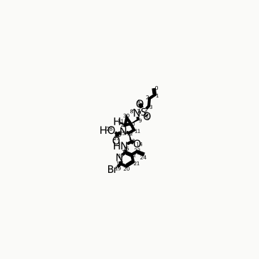 C=CCCS(=O)(=O)N(C)C[C@@]12C[C@@H](C(=O)Nc3nc(Br)ccc3C=C)N(C(=O)O)[C@@H]1C2